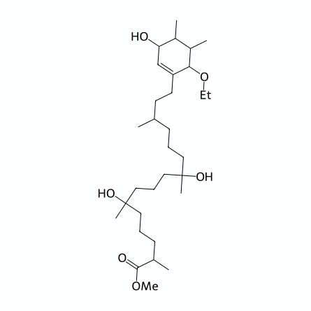 CCOC1C(CCC(C)CCCC(C)(O)CCCC(C)(O)CCCC(C)C(=O)OC)=CC(O)C(C)C1C